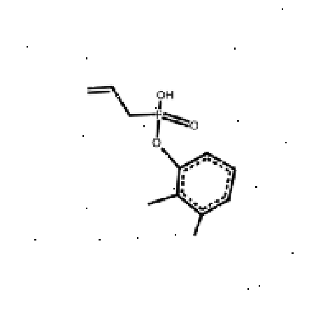 C=CCP(=O)(O)Oc1cccc(C)c1C